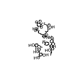 CC#C[C@]1(O)CC[C@H]2[C@@H]3CCC4=CC(=O)CCC4=C3[C@@H](c3ccc(N(C)C)cc3)C[C@@]21C.CC(Cc1ccc(O)cc1)NCC(O)c1cc(O)cc(O)c1.COC1=C2C[C@@H](C)C[C@H](OC)[C@H](O)[C@@H](C)/C=C(\C)[C@H](OC(N)=O)[C@@H](OC)/C=C\C=C(/C)C(=O)NC(=CC1=O)C2=O